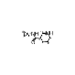 O=C(NC1CC1)C1CCCNC1